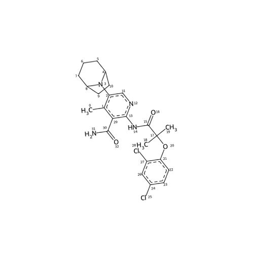 Cc1c(N2C3CCCC2CC3)cnc(NC(=O)C(C)(C)Oc2ccc(Cl)cc2Cl)c1C(N)=O